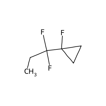 CCC(F)(F)C1(F)CC1